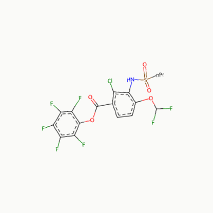 CCCS(=O)(=O)Nc1c(OC(F)F)ccc(C(=O)Oc2c(F)c(F)c(F)c(F)c2F)c1Cl